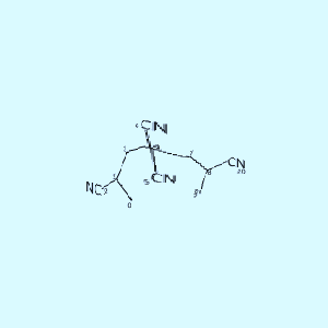 CC(C#N)CC(C#N)(C#N)CC(C)C#N